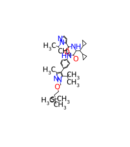 Cc1nn(COCC[Si](C)(C)C)c(C(C)C)c1-c1ccc(NC(=O)[C@@H](NC(=O)c2ccnn2C(C)C)C(C2CC2)C2CC2)cc1